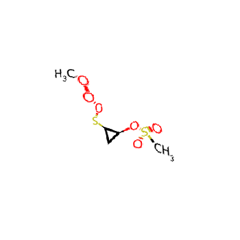 COOOS[C@@H]1C[C@@H]1OS(C)(=O)=O